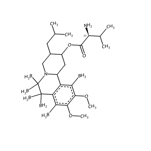 Bc1c(OC)c(OC)c(B)c2c1C1CC(OC(=O)[C@@H](N)C(C)C)C(CC(C)C)CN1C(B)(B)C2(B)B